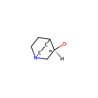 [O][C@H]1CN2CCC1CC2